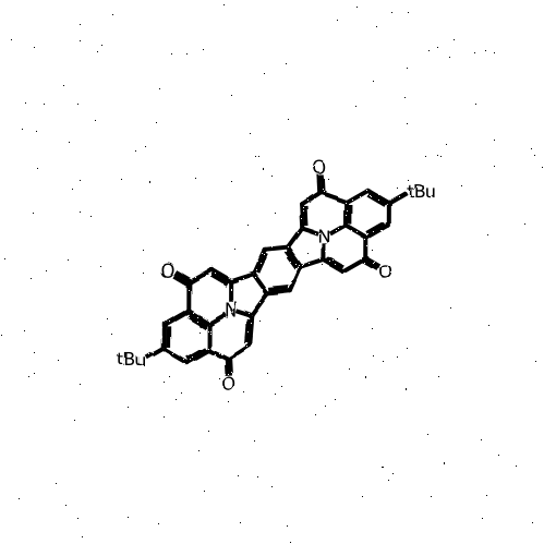 CC(C)(C)c1cc2c(=O)cc3c4cc5c(cc4c4cc(=O)c(c1)c2n34)c1cc(=O)c2cc(C(C)(C)C)cc3c(=O)cc5n1c32